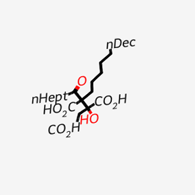 CCCCCCCCCCCCCCCC(C(=O)O)(C(=O)CCCCCCC)C(O)(CC(=O)O)C(=O)O